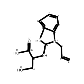 C=CCN1c2ccccc2SC1NC(CO)C(=O)O